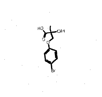 CC(O)(COc1ccc(Br)cc1)C(=O)O